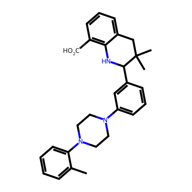 Cc1ccccc1N1CCN(c2cccc(C3Nc4c(cccc4C(=O)O)CC3(C)C)c2)CC1